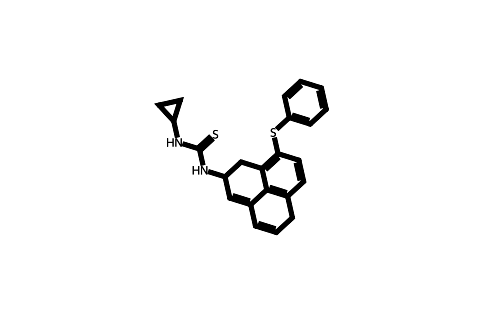 S=C(NC1C=C2C=CCc3ccc(Sc4ccccc4)c(c32)C1)NC1CC1